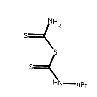 CCCNC(=S)SC(N)=S